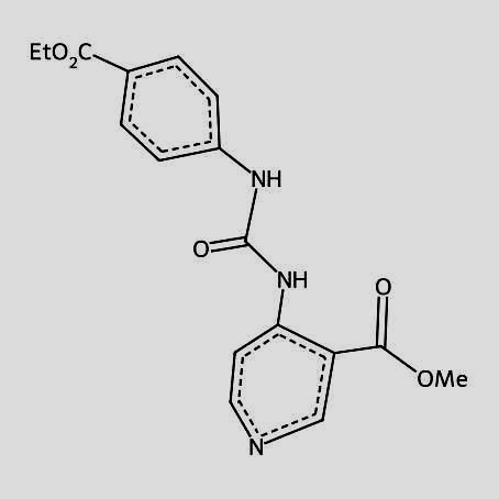 CCOC(=O)c1ccc(NC(=O)Nc2ccncc2C(=O)OC)cc1